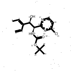 C=C/C(=C\C)[C@@H](O)[C@H](NC(=O)OC(C)(C)C)c1nccc(Cl)n1